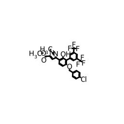 COC(=O)c1cc(-c2ccc(OCc3ccc(Cl)cc3)c(-c3cc(C(F)(F)F)cc(C(F)(F)F)c3)c2O)nn1C